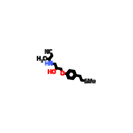 CSCCc1ccc(OCC(O)CNC(C)CC#N)cc1